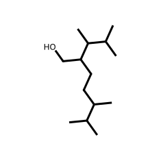 CC(C)C(C)CCC(CO)C(C)C(C)C